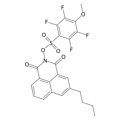 CCCCc1cc2c3c(cccc3c1)C(=O)N(OS(=O)(=O)c1c(F)c(F)c(OC)c(F)c1F)C2=O